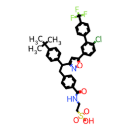 CC(C)(C)c1ccc(C(Cc2ccc(C(=O)NCCS(=O)(=O)O)cc2)c2cc(-c3ccc(Cl)c(-c4ccc(C(F)(F)F)cc4)c3)on2)cc1